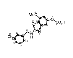 COc1cc(OC(=O)O)cc2nc(NCc3cc(Cl)ccn3)oc12